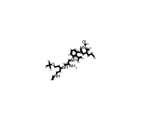 C=CNCCC(CCOC(C)(C)C)N/C=C(\N)CNc1cccc(C(=C)CC(CCC)C(=C)NC=O)c1C(=C)C